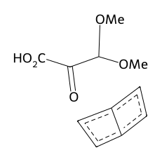 COC(OC)C(=O)C(=O)O.c1cc2ccc1-2